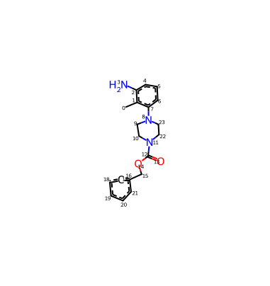 Cc1c(N)cccc1N1CCN(C(=O)OCc2ccccc2)CC1